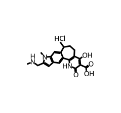 CNCc1cc2cc3c(cc2n1C)C(C)CCc1c-3[nH]c(=O)c(C(=O)O)c1O.Cl